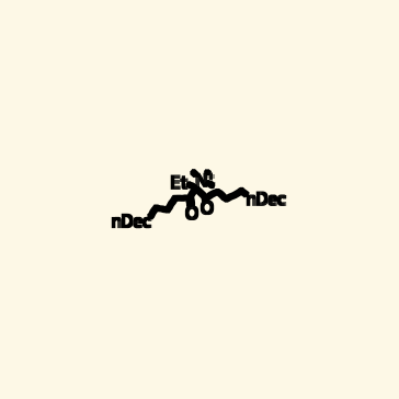 CCCCCCCCCCCCCC(=O)C(CC)(C(=O)CCCCCCCCCCCCC)[N+](C)(C)C